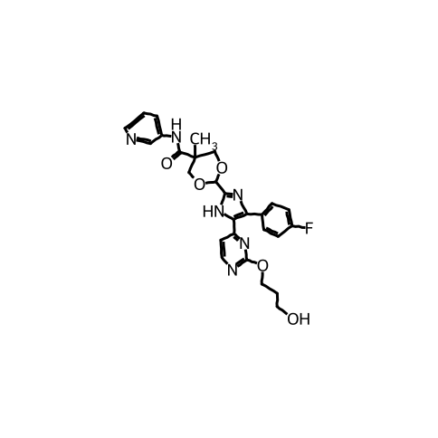 CC1(C(=O)Nc2cccnc2)COC(c2nc(-c3ccc(F)cc3)c(-c3ccnc(OCCCO)n3)[nH]2)OC1